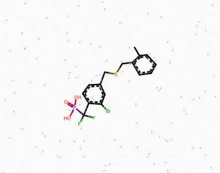 Cc1ccccc1CSCc1ccc(C(F)(F)P(=O)(O)O)c(Br)c1